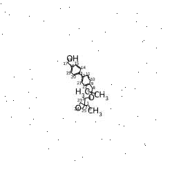 CCC1(COC(C)(C)Cc2ccc(-c3ccc(CO)cc3)cc2)COC1